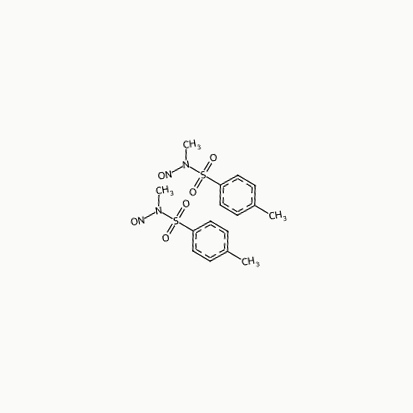 Cc1ccc(S(=O)(=O)N(C)N=O)cc1.Cc1ccc(S(=O)(=O)N(C)N=O)cc1